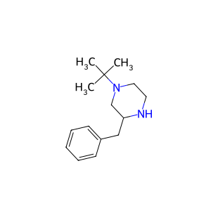 CC(C)(C)N1CCNC(Cc2ccccc2)C1